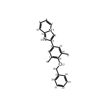 Cc1cc(-c2cn3ccccc3n2)cc(C)c1OCc1ccccc1